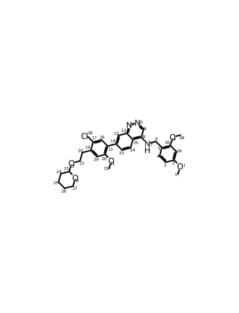 COc1ccc(CNc2cnnc3cc(-c4cc(Cl)c(CCOC5CCCCO5)cc4OC)ccc23)c(OC)c1